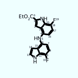 CCOC(=O)c1cc2c(Nc3ccc(F)c4[nH]ccc34)ccc(F)c2[nH]1